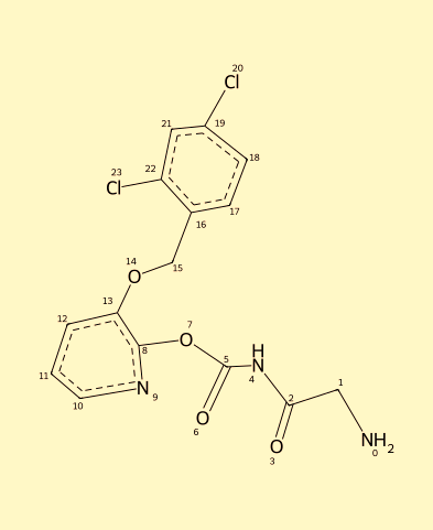 NCC(=O)NC(=O)Oc1ncccc1OCc1ccc(Cl)cc1Cl